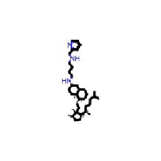 CC(C)CCC[C@@H](C)[C@H]1CC[C@@H](C)[C@]1(C)CC[C@H]1CCCC2C[C@@H](NCCCCNCc3ccccn3)CC[C@@]21C